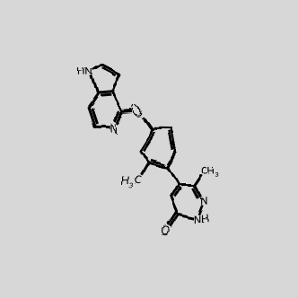 Cc1cc(Oc2nccc3[nH]ccc23)ccc1-c1cc(=O)[nH]nc1C